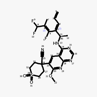 C=C/C=C(\C(F)=C(/C)C(F)F)[C@@H](C)Nc1ncnc2nc(OC)c(C3(C#N)CCS(=O)(=O)CC3)cc12